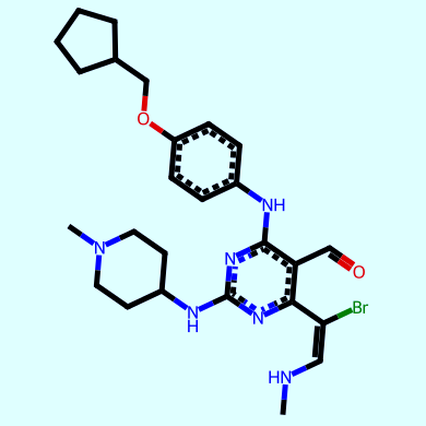 CN/C=C(/Br)c1nc(NC2CCN(C)CC2)nc(Nc2ccc(OCC3CCCC3)cc2)c1C=O